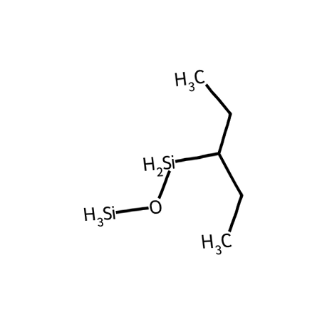 CCC(CC)[SiH2]O[SiH3]